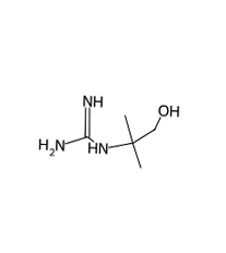 CC(C)(CO)NC(=N)N